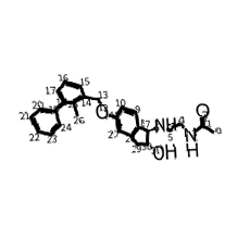 CC(=O)NCCN[C@@H]1c2ccc(OCc3cccc(-c4ccccc4)c3C)cc2C[C@H]1O